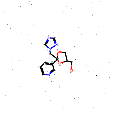 OCC1COC(Cn2cncn2)(c2cccnc2)O1